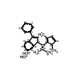 CC1=[C]([Zr]([CH]2C=C(c3ccccc3)c3ccccc32)=[Si](C)C)C(C)C=C1.Cl.Cl